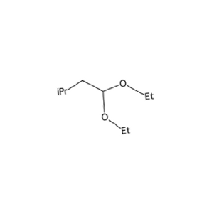 [CH2]C(C)CC(OCC)OCC